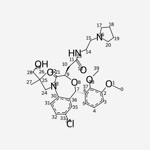 COc1cccc([C@H]2O[C@H](CC(=O)NCCN3CCCC3)C(=O)N(CC(C)(C)CO)c3ccc(Cl)cc32)c1OC